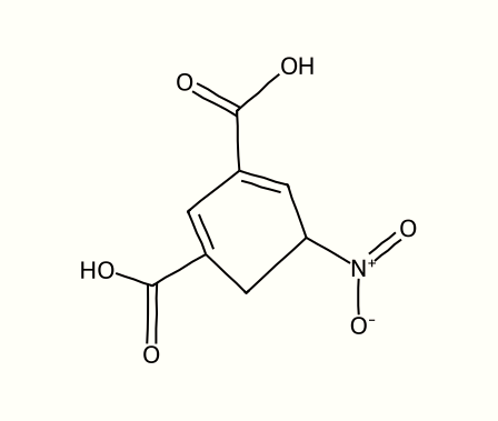 O=C(O)C1=CC([N+](=O)[O-])CC(C(=O)O)=C1